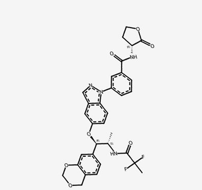 C[C@H](NC(=O)C(C)(F)F)[C@H](Oc1ccc2c(cnn2-c2cccc(C(=O)N[C@@H]3CCOC3=O)c2)c1)c1ccc2c(c1)OCOC2